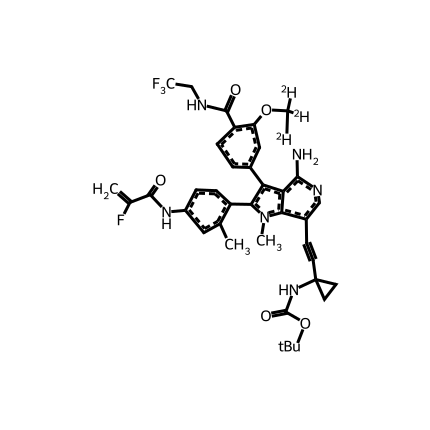 [2H]C([2H])([2H])Oc1cc(-c2c(-c3ccc(NC(=O)C(=C)F)cc3C)n(C)c3c(C#CC4(NC(=O)OC(C)(C)C)CC4)cnc(N)c23)ccc1C(=O)NCC(F)(F)F